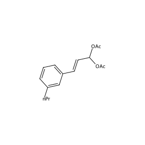 CCCc1cccc(/C=C/C(OC(C)=O)OC(C)=O)c1